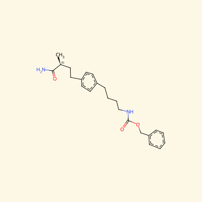 C[C@@H](CCc1ccc(CCCCNC(=O)OCc2ccccc2)cc1)C(N)=O